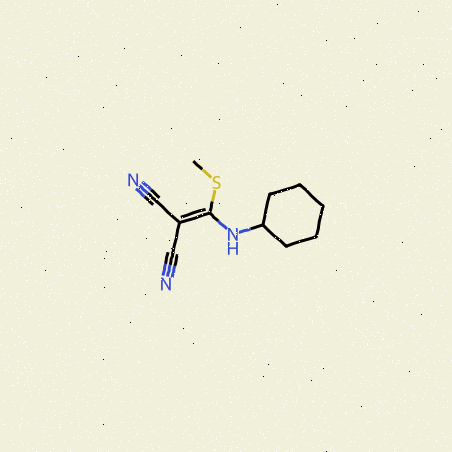 CSC(NC1CCCCC1)=C(C#N)C#N